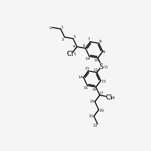 CCCCC(Cl)c1cccc(Sc2cccc(C(Cl)CCCC)c2)c1